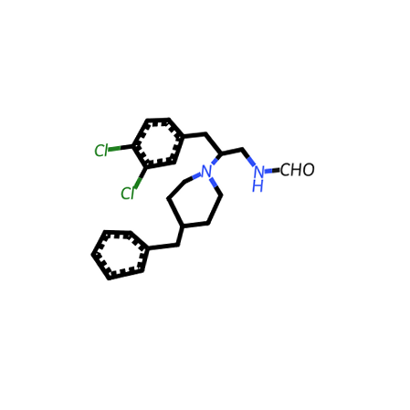 O=CNCC(Cc1ccc(Cl)c(Cl)c1)N1CCC(Cc2ccccc2)CC1